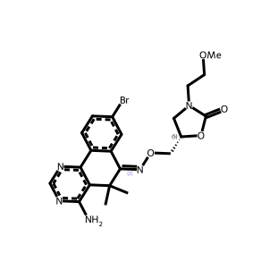 COCCN1C[C@@H](CO/N=C2\c3cc(Br)ccc3-c3ncnc(N)c3C2(C)C)OC1=O